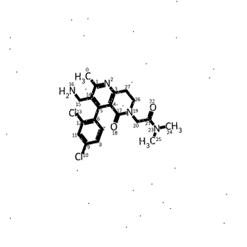 Cc1nc2c(c(-c3ccc(Cl)cc3Cl)c1CN)C(=O)N(CC(=O)N(C)C)CC2